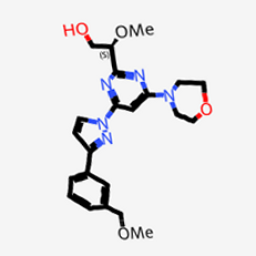 COCc1cccc(-c2ccn(-c3cc(N4CCOCC4)nc([C@@H](CO)OC)n3)n2)c1